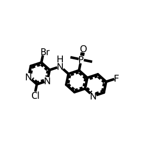 CP(C)(=O)c1c(Nc2nc(Cl)ncc2Br)ccc2ncc(F)cc12